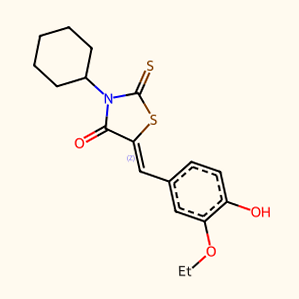 CCOc1cc(/C=C2\SC(=S)N(C3CCCCC3)C2=O)ccc1O